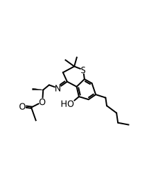 CCCCCc1cc(O)c2c(c1)SC(C)(C)CC2=NC[C@H](C)OC(C)=O